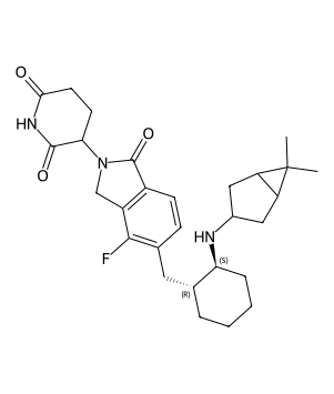 CC1(C)C2CC(N[C@H]3CCCC[C@@H]3Cc3ccc4c(c3F)CN(C3CCC(=O)NC3=O)C4=O)CC21